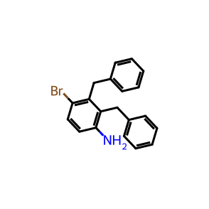 Nc1ccc(Br)c(Cc2ccccc2)c1Cc1ccccc1